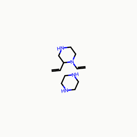 C1CNCCN1.C=CC1CNCCN1C=C